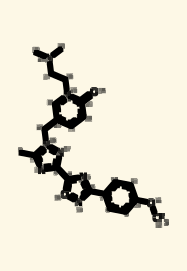 Cc1nc(-c2nc(-c3ccc(OC(F)(F)F)cc3)no2)nn1Cc1ccc(=O)n(CCN(C)C)c1